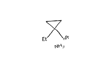 CCCC1(CC)CC1.N